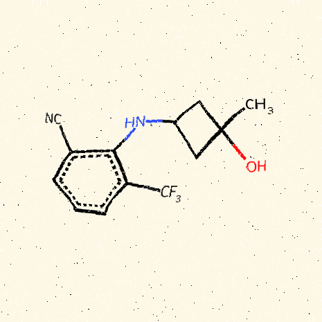 CC1(O)CC(Nc2c(C#N)cccc2C(F)(F)F)C1